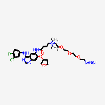 C[N+](C)(C/C=C/C(=O)Nc1cc2c(Nc3ccc(F)c(Cl)c3)ncnc2cc1O[C@H]1CCOC1)CCOCCOCCOCCN=[N+]=[N-]